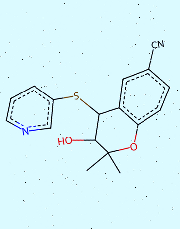 CC1(C)Oc2ccc(C#N)cc2C(Sc2cccnc2)C1O